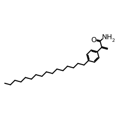 C=C(C(N)=O)c1ccc(CCCCCCCCCCCCCCCC)cc1